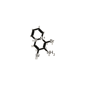 NC1=C(Br)N2C=CC=CB2C=C1Br